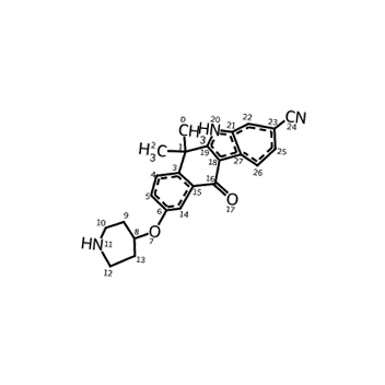 CC1(C)c2ccc(OC3CCNCC3)cc2C(=O)c2c1[nH]c1cc(C#N)ccc21